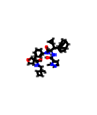 Cn1nccc1C(=O)N[C@H](C(=O)Nc1cccc(C2(C(=O)NCC3(C)CCC3)CCOC2)c1)C(C1CC1)C1C2CC3CC(C2)CC1C3